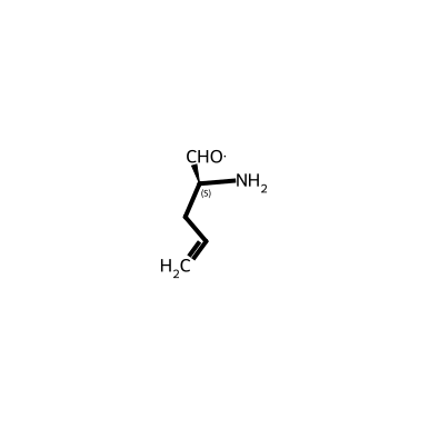 C=CC[C@H](N)[C]=O